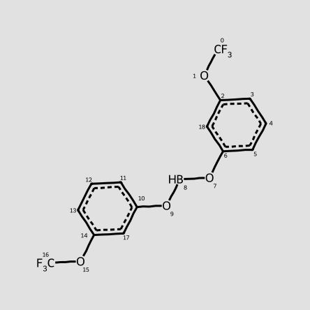 FC(F)(F)Oc1cccc(OBOc2cccc(OC(F)(F)F)c2)c1